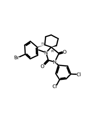 CN1C(=O)N(c2cc(Cl)cc(Cl)c2)C(=O)[C@]12CCCC[C@H]2c1ccc(Br)cc1